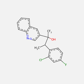 CC(c1ccc(F)cc1Cl)C(O)(c1cnc2ccccc2c1)C(F)(F)F